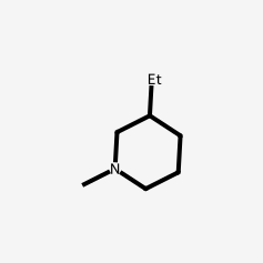 CCC1CCCN(C)C1